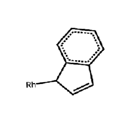 [Rh][CH]1C=Cc2ccccc21